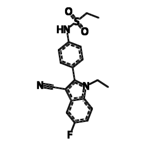 CCn1c(-c2ccc(NS(=O)(=O)CC)cc2)c(C#N)c2cc(F)ccc21